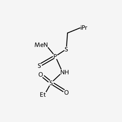 CCS(=O)(=O)NP(=S)(NC)SCC(C)C